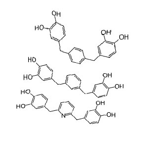 Oc1ccc(Cc2ccc(Cc3ccc(O)c(O)c3)cc2)cc1O.Oc1ccc(Cc2cccc(Cc3ccc(O)c(O)c3)c2)cc1O.Oc1ccc(Cc2cccc(Cc3ccc(O)c(O)c3)n2)cc1O